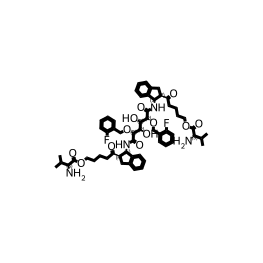 CC(C)[C@H](N)C(=O)OCCCCC(=O)[C@@H]1Cc2ccccc2[C@H]1NC(=O)[C@H](OCc1ccccc1F)[C@H](O)[C@@H](O)[C@@H](OCc1ccccc1F)C(=O)N[C@@H]1c2ccccc2C[C@H]1C(=O)CCCCOC(=O)[C@@H](N)C(C)C